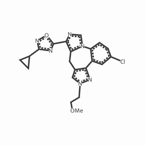 COCCn1cc2c(n1)-c1cc(Cl)ccc1-n1cnc(-c3nc(C4CC4)no3)c1C2